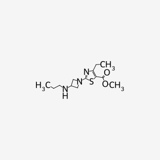 CCCNC1CN(c2nc(CC)c(C(=O)OC)s2)C1